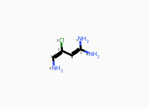 N/C=C(/Cl)C=C(N)N